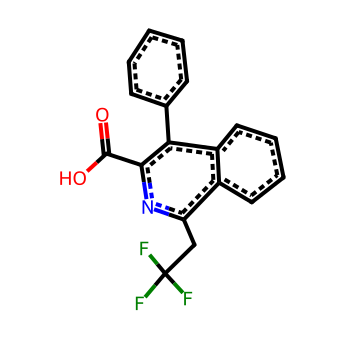 O=C(O)c1nc(CC(F)(F)F)c2ccccc2c1-c1ccccc1